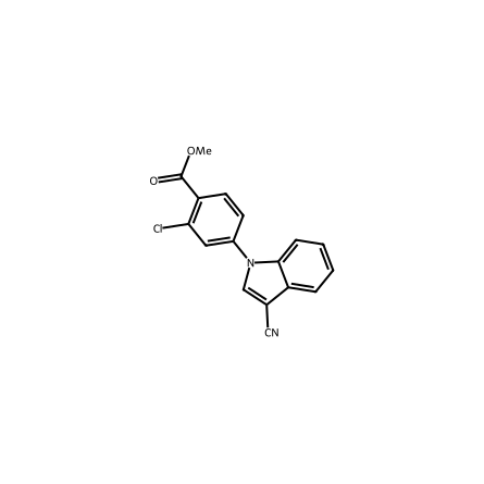 COC(=O)c1ccc(-n2cc(C#N)c3ccccc32)cc1Cl